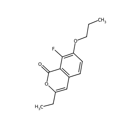 CCCOc1ccc2cc(CC)oc(=O)c2c1F